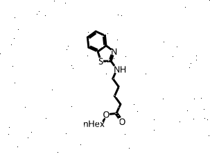 CCCCCCOC(=O)CCCCNc1nc2ccccc2s1